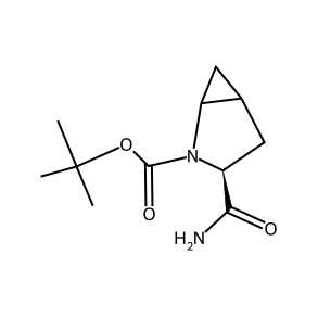 CC(C)(C)OC(=O)N1C2CC2C[C@H]1C(N)=O